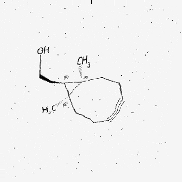 C[C@@]12CCC#CCC[C@]1(C)[C@@H]2CO